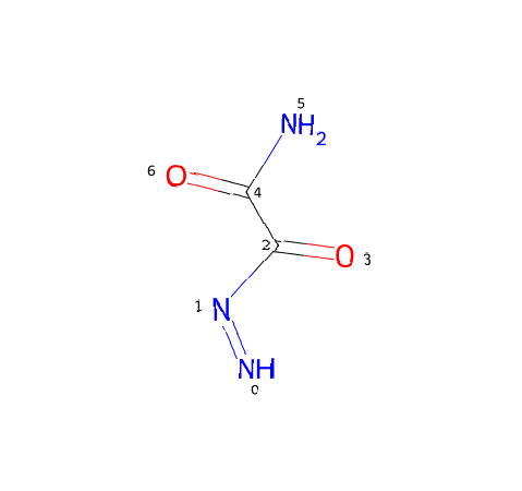 N=NC(=O)C(N)=O